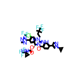 CC(C)(CCNC(=N)N(C(=O)c1ccc(-c2cnn(C3CC3)c2)cc1)[C@H](COC(=O)NC1(C(F)(F)F)CC1)c1ccc(Cl)c(-c2ncnn2C(F)F)c1)C(F)(F)F